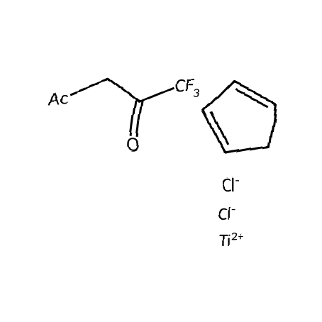 C1=CCC=C1.CC(=O)CC(=O)C(F)(F)F.[Cl-].[Cl-].[Ti+2]